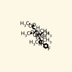 CCOC(=O)CC[C@@H](NC(=O)[C@@H](NC(=O)c1c(C)nn(-c2ccc(F)cc2)c1C)C(C)C)C(=O)OCC